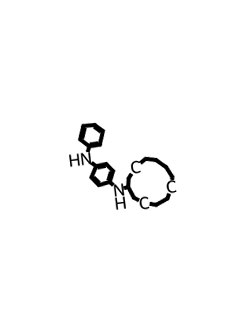 c1ccc(Nc2ccc(NC3CCCCCCCCCCC3)cc2)cc1